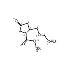 CCOCOCC1CC(=O)CN1C(=O)OC(C)(C)C